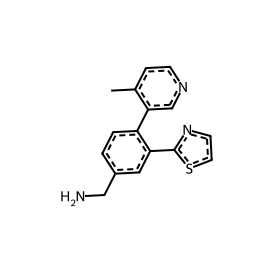 Cc1ccncc1-c1ccc(CN)cc1-c1nccs1